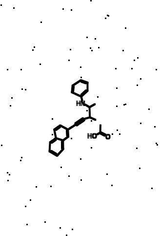 CC(=O)O.CC(C#Cc1ccc2ccccc2c1)C(C)Nc1ccccc1